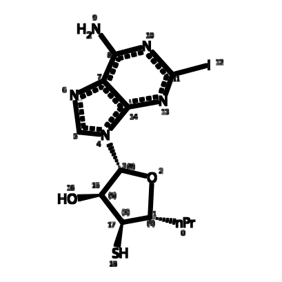 CCC[C@H]1O[C@@H](n2cnc3c(N)nc(I)nc32)[C@H](O)[C@@H]1S